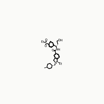 CC[C@@H]1c2ccc(C(=O)N[C@@H](CCO)c3ccc(S(=O)(=O)CC)cc3)cc2CN1C[C@H]1CC[C@H](C)CC1